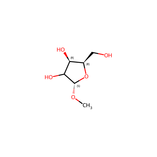 CO[C@H]1O[C@H](CO)[C@H](O)C1O